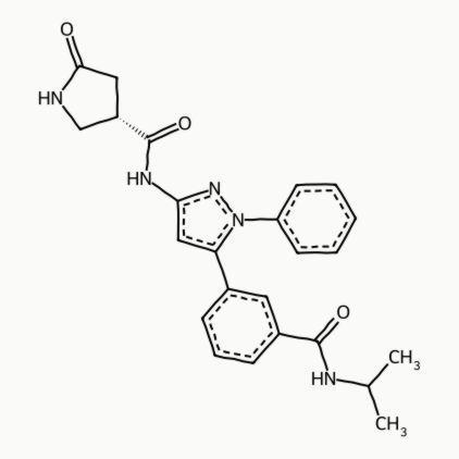 CC(C)NC(=O)c1cccc(-c2cc(NC(=O)[C@@H]3CNC(=O)C3)nn2-c2ccccc2)c1